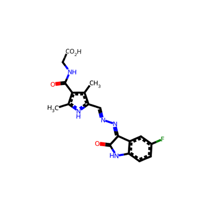 Cc1[nH]c(C=NN=C2C(=O)Nc3ccc(F)cc32)c(C)c1C(=O)NCC(=O)O